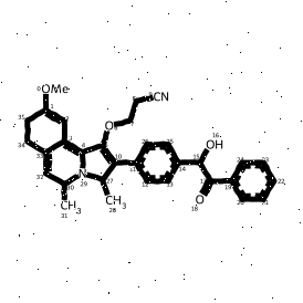 COC1=CC2=C3C(OCCC#N)=C(c4ccc(C(O)C(=O)c5ccccc5)cc4)C(C)N3C(C)C=C2CC1